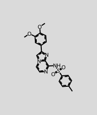 COc1ccc(-c2cn3ccnc(NS(=O)(=O)c4ccc(C)cc4)c3n2)cc1OC